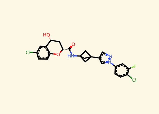 O=C(NC12CC(c3cnn(-c4ccc(Cl)c(F)c4)c3)(C1)C2)[C@H]1C[C@@H](O)c2cc(Cl)ccc2O1